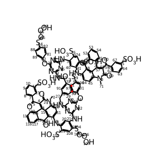 Cn1c(=O)c(C(=O)c2cccc(S(=O)(=O)O)c2)c2c3c(c(Nc4cc(Nc5nc(NCc6cccc(CNc7nc(Nc8cc(Nc9ccc%10c%11c9C(=O)c9ccccc9-c%11c(C(=O)c9cccc(S(=O)(=O)O)c9)c(=O)n%10C)c(S(=O)(=O)O)cc8S(=O)(=O)O)nc(Oc8ccc(SOOO)cc8)n7)c6)nc(Oc6ccc(S(=O)(=O)O)cc6)n5)c(SOOO)cc4S(=O)(=O)O)ccc31)C(=O)c1ccccc1-2